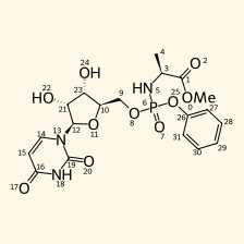 COC(=O)[C@H](C)NP(=O)(OC[C@H]1O[C@@H](n2ccc(=O)[nH]c2=O)[C@H](O)[C@@H]1O)Oc1ccccc1